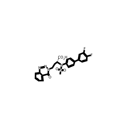 CS(=O)(=O)N(c1ccc(-c2ccc(F)c(F)c2)cc1)[C@H](CCn1nnc2ccccc2c1=O)C(=O)O